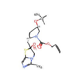 C=CCOC(=O)N1C[C@H](O[Si](C)(C)C(C)(C)C)C[C@H]1CC1(O)Cn2c(cnc2SC)S1